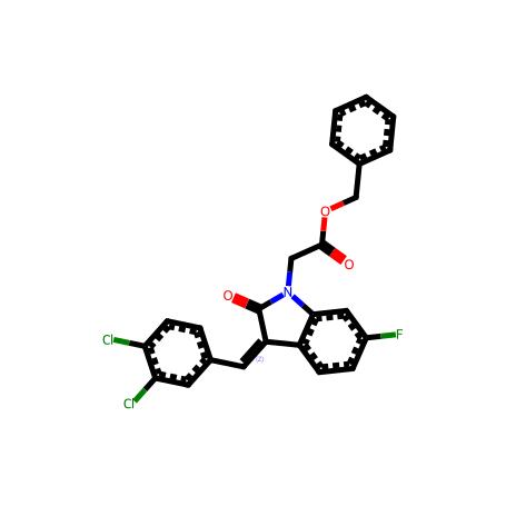 O=C(CN1C(=O)/C(=C\c2ccc(Cl)c(Cl)c2)c2ccc(F)cc21)OCc1ccccc1